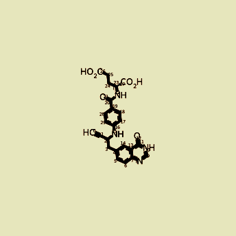 C#CC(Cc1ccc2nc[nH]c(=O)c2c1)Nc1ccc(C(=O)N[C@@H](CCC(=O)O)C(=O)O)cc1